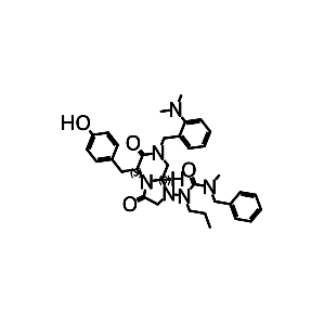 CCCN(C(=O)N(C)Cc1ccccc1)N1CC(=O)N2[C@@H](Cc3ccc(O)cc3)C(=O)N(Cc3ccccc3N(C)C)C[C@@H]21